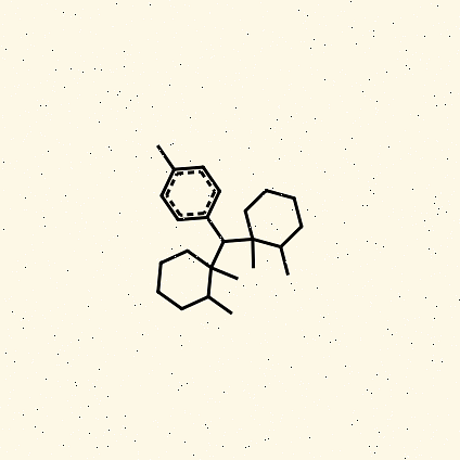 Cc1ccc(C(C2(C)CCCCC2C)C2(C)CCCCC2C)cc1